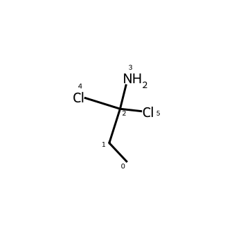 CCC(N)(Cl)Cl